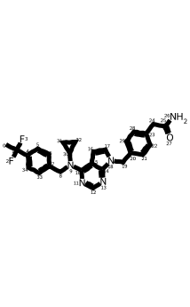 CC(F)(F)c1ccc(CN(c2ncnc3c2ccn3Cc2ccc(CC(N)=O)cc2)C2CC2)cc1